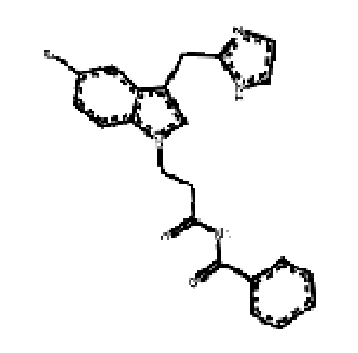 O=C(CCn1cc(Cc2ncc[nH]2)c2cc(Br)ccc21)NC(=O)c1ccccc1